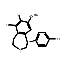 Cl.Oc1ccc([C@H]2CNCCc3c2cc(O)c(O)c3Cl)cc1